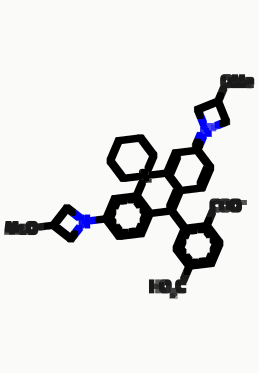 COC1CN(c2ccc3c(c2)[Si]2(CCCCC2)C2=CC(=[N+]4CC(OC)C4)C=CC2=C3c2cc(C(=O)O)ccc2C(=O)[O-])C1